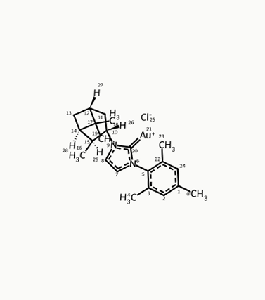 Cc1cc(C)c(-n2ccn([C@H]3C[C@H]4C[C@H]([C@@H]3C)C4(C)C)[c]2=[Au+])c(C)c1.[Cl-]